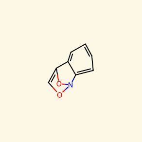 C1=C2ON(O1)c1ccccc12